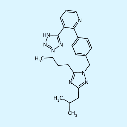 CCCCc1nc(CC(C)C)nn1Cc1ccc(-c2ncccc2-c2nnn[nH]2)cc1